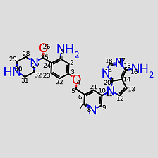 Nc1cc(OCc2cncc(-n3ccc4c(N)ncnc43)c2)ccc1C(=O)N1CCNCC1